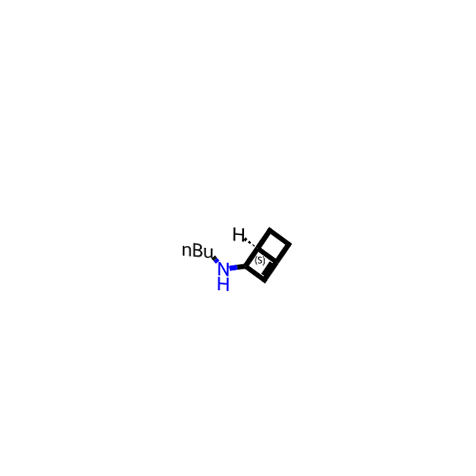 CCCCNC1C=C2CC[C@@H]21